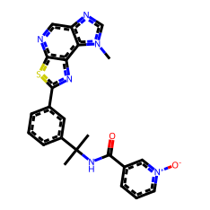 Cn1cnc2cnc3sc(-c4cccc(C(C)(C)NC(=O)c5ccc[n+]([O-])c5)c4)nc3c21